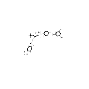 CC(C)(C)c1nn2nc(-c3ccc(NC(=O)c4cc(C(=O)O)cc(C(=O)O)c4)cc3)[nH]c2c1N=Nc1nc2cc(Cl)c(S(=O)(=O)O)cc2s1